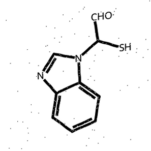 O=[C]C(S)n1cnc2ccccc21